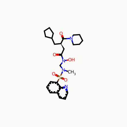 CN(CN(O)C(=O)C[C@@H](CC1CCCC1)C(=O)N1CCCCC1)S(=O)(=O)c1cccc2cccnc12